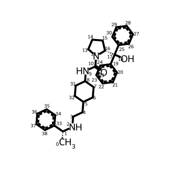 C[C@@H](NCCC1CCC(NC(=O)N2CCC[C@@H]2C(O)(c2ccccc2)c2ccccc2)CC1)c1ccccc1